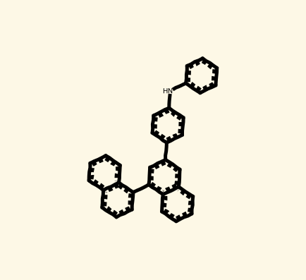 c1ccc(Nc2ccc(-c3cc(-c4cccc5ccccc45)c4ccccc4c3)cc2)cc1